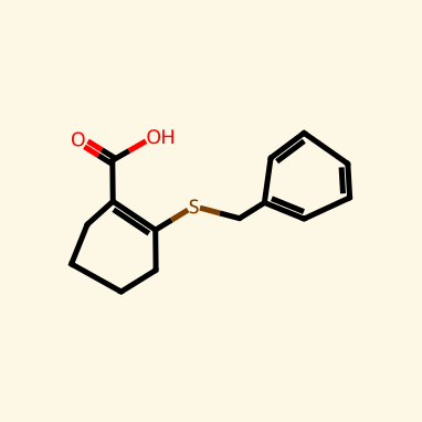 O=C(O)C1=C(SCc2ccccc2)CCCC1